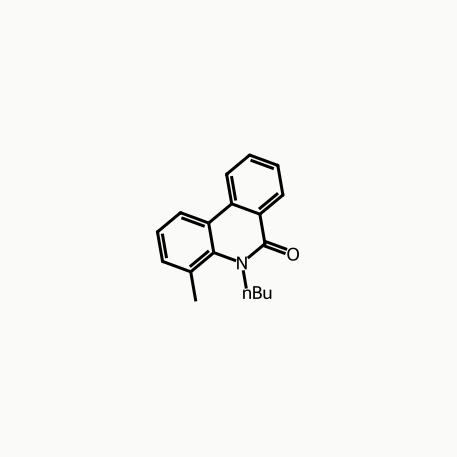 CCCCn1c(=O)c2ccccc2c2cccc(C)c21